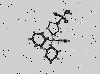 CS(=O)(=O)N1CC[C@@H](C(C#N)(c2ccccc2)c2ccccc2)C1